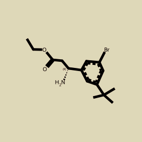 CCOC(=O)C[C@@H](N)c1cc(Br)cc(C(C)(C)C)c1